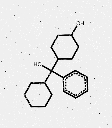 OC1CCC(C(O)(c2ccccc2)C2CCCCC2)CC1